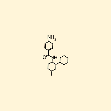 CC1CCC(NC(=O)C2=CCC(N)C=C2)C(C2CCCCC2)C1